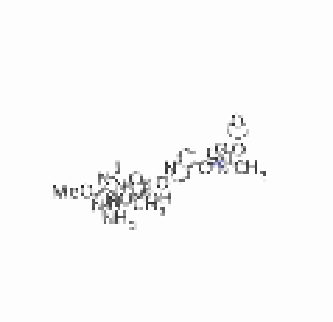 COc1nc(N)nc2c1nc(I)n2[C@@H]1O[C@H](COc2ccc3c(O/[P+]([O-])=N/[C@@H](C)C(=O)OC4CCOCC4)cccc3n2)[C@@H](O)[C@@]1(C)O